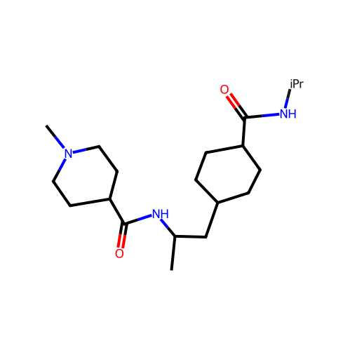 CC(C)NC(=O)C1CCC(CC(C)NC(=O)C2CCN(C)CC2)CC1